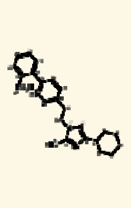 CCCCc1nc(C2CCCCC2)nn1CCc1ccc(-c2ccccc2C(=O)O)nc1